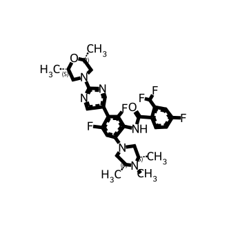 C[C@@H]1CN(c2ncc(-c3c(F)cc(N4C[C@@H](C)N(C)[C@@H](C)C4)c(NC(=O)c4ccc(F)cc4C(F)F)c3F)cn2)C[C@H](C)O1